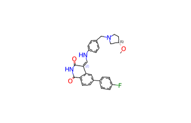 CO[C@H]1CCN(Cc2ccc(N/C=C3\C(=O)NC(=O)c4ccc(-c5ccc(F)cc5)cc43)cc2)C1